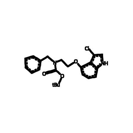 CC(C)(C)OC(=O)N(CCOc1cccc2[nH]cc(Cl)c12)Cc1ccccc1